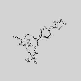 CCC(C)(C)CC=C(CC(NS(N)(=O)=O)C(=O)O)c1ccc(-n2cccc2)cc1